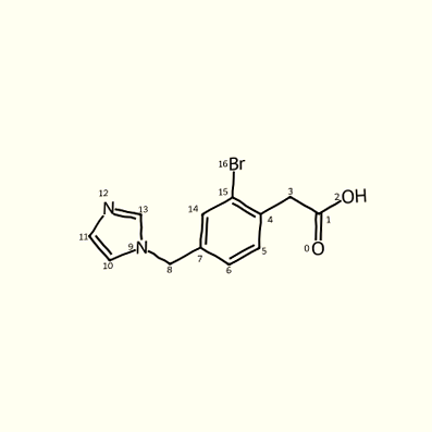 O=C(O)Cc1ccc(Cn2ccnc2)cc1Br